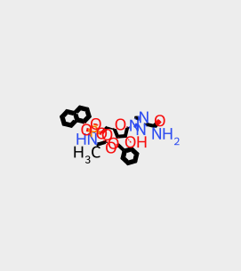 C[C@H](NP(=O)(OC[C@H]1O[C@@H](n2cnc(C(N)=O)n2)[C@H](O)C1=O)Oc1cccc2ccccc12)C(=O)OCc1ccccc1